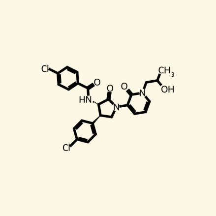 CC(O)Cn1cccc(N2C[C@@H](c3ccc(Cl)cc3)[C@H](NC(=O)c3ccc(Cl)cc3)C2=O)c1=O